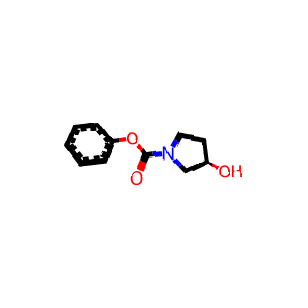 O=C(Oc1ccccc1)N1CC[C@@H](O)C1